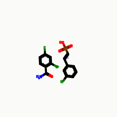 NC(=O)c1ccc(F)cc1Br.O=S(=O)(O)/C=C/c1cccc(Cl)c1